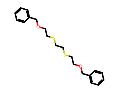 c1ccc(COCCSCCSCCOCc2ccccc2)cc1